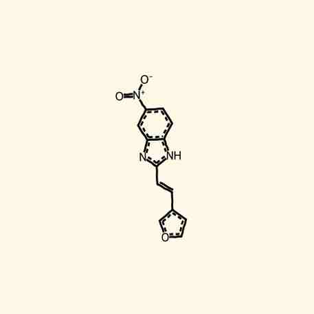 O=[N+]([O-])c1ccc2[nH]c(/C=C/c3ccoc3)nc2c1